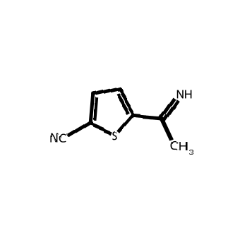 CC(=N)c1ccc(C#N)s1